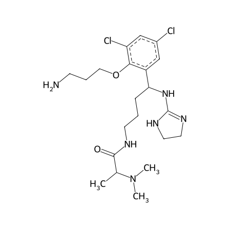 CC(C(=O)NCCCC(NC1=NCCN1)c1cc(Cl)cc(Cl)c1OCCCN)N(C)C